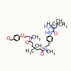 CN(CCOc1ccc(C=O)cc1)C(=O)CCC(C)(C)CCC(=O)N(C)CCc1ccc(NC(=O)[C@@H](N)CC(C)(C)C)cc1